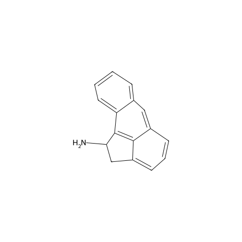 NC1Cc2cccc3cc4ccccc4c1c23